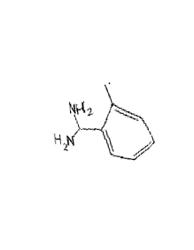 [CH2]c1ccccc1C(N)N